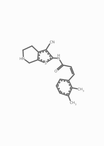 Cc1cccc(/C=C\C(=O)Nc2sc3c(c2C#N)CCNC3)c1C